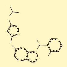 CC(P)Oc1cc(Nc2cnc3cnn([C@@H](C)c4cnccc4F)c3n2)n[nH]1